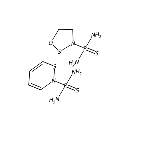 NP(N)(=S)N1C=CC=CS1.NP(N)(=S)N1CCOS1